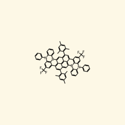 Cc1cc(C)c(-c2cc3c4c(cc5c(-c6c(C)cc(C)cc6C)cc6c7c(cc2c4c57)B2c4ccccc4N(c4ccccc4)c4cc(C(F)(F)F)cc-6c42)B2c4ccccc4N(c4ccccc4)c4cc(C(F)(F)F)cc-3c42)c(C)c1